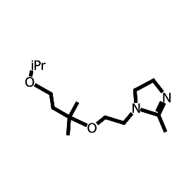 CC1=NCCN1CCOC(C)(C)CCOC(C)C